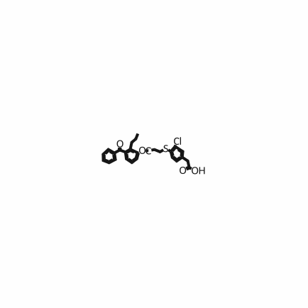 CCCc1c(OCCCSc2ccc(CC(=O)O)cc2Cl)cccc1C(=O)c1ccccc1